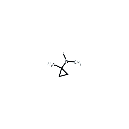 CN(I)C1(N)CC1